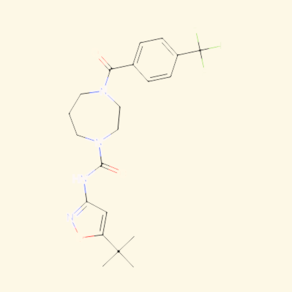 CC(C)(C)c1cc(NC(=O)N2CCCN(C(=O)c3ccc(C(F)(F)F)cc3)CC2)no1